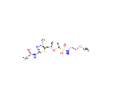 COCCNS(=O)(=O)c1ccc(-c2sc(NC(C)=O)nc2C)o1